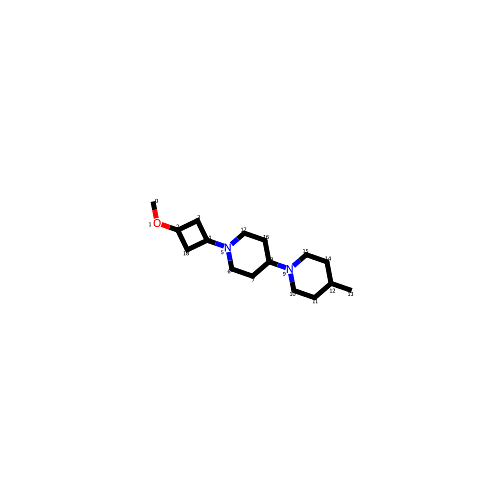 COC1CC(N2CCC(N3CCC(C)CC3)CC2)C1